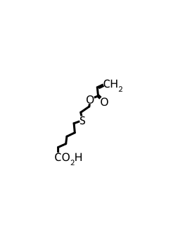 C=CC(=O)OCCSCCCCCC(=O)O